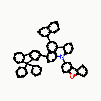 c1ccc(C2(c3ccccc3)c3ccccc3-c3ccc(-c4ccc(N(c5ccc6oc7ccccc7c6c5)c5ccccc5-c5cccc(-c6cccc7ccccc67)c5)cc4)cc32)cc1